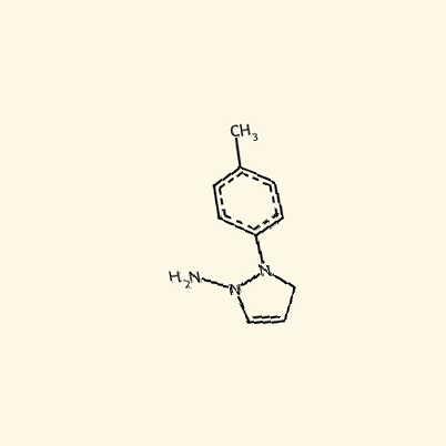 Cc1ccc(N2CC=CN2N)cc1